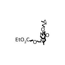 CCOC(=O)/C=C/OCCn1c(C)cc2c(=O)n(COCC[Si](C)(C)C)ncc21